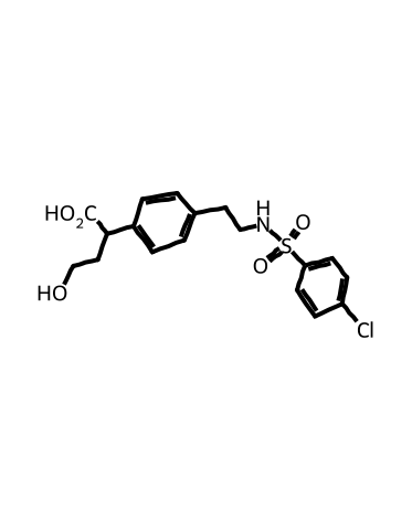 O=C(O)C(CCO)c1ccc(CCNS(=O)(=O)c2ccc(Cl)cc2)cc1